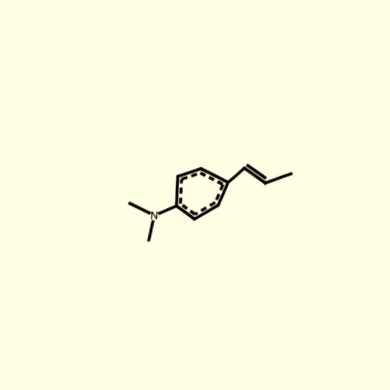 C[C]=Cc1ccc(N(C)C)cc1